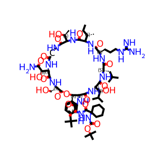 CC[C@H](C)C1NC(=O)[C@@H](CCCNC(=N)N)NC(=O)[C@H](CC(C)C)NC(=O)[C@H]([C@H](O)C(C)C)NC(=O)[C@@H](NC(=O)[C@H](CC(C)(C)C)NC(=O)C2(NC(=O)OC(C)(C)C)CCCCC2)[C@@H](c2ccccc2)OC(=O)[C@H](CO)NC(=O)[C@H]([C@H](O)C(N)=O)NC(=O)CNC(=O)C([C@H](C)O)NC1=O